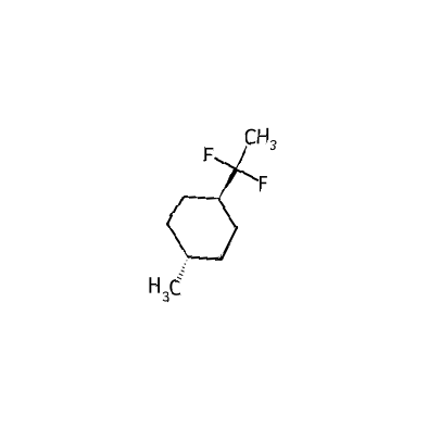 CC(F)(F)[C@H]1CC[C@H](C)CC1